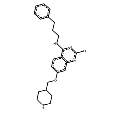 Clc1nc(NCCCc2ccccc2)c2ccc(OCC3CCNCC3)cc2n1